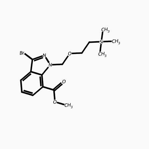 COC(=O)c1cccc2c(Br)nn(COCC[Si](C)(C)C)c12